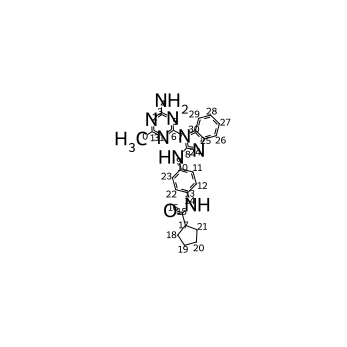 Cc1nc(N)nc(-n2c(Nc3ccc(NC(=O)C4CCCC4)cc3)nc3ccccc32)n1